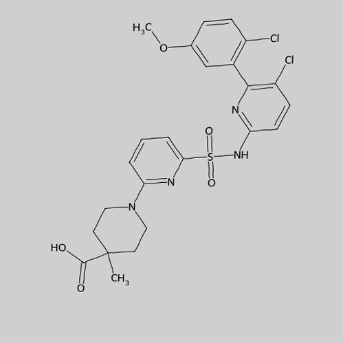 COc1ccc(Cl)c(-c2nc(NS(=O)(=O)c3cccc(N4CCC(C)(C(=O)O)CC4)n3)ccc2Cl)c1